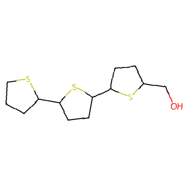 OCC1CCC(C2CCC(C3CCCS3)S2)S1